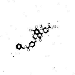 C[C@H]1CN(C(=O)OC(C)(C)C)CCN1c1nc(=O)n2c3c(c(Br)c(Cl)cc13)SC[C@@H]2CC1CCN(C(=O)OCc2ccccc2)CC1